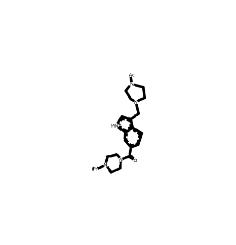 CC(=O)N1CCN(Cc2c[nH]c3cc(C(=O)N4CCN(C(C)C)CC4)ccc23)CC1